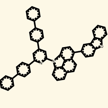 c1ccc(-c2ccc(-c3cc(-c4ccc(-c5ccccc5)cc4)nc(-n4c5cccc6ccc7c(-c8ccc9oc%10ccccc%10c9c8)ccc4c7c65)c3)cc2)cc1